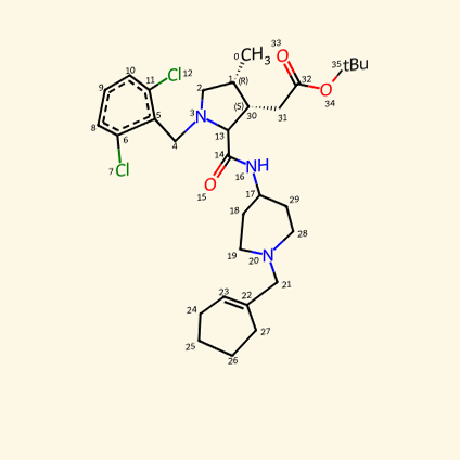 C[C@H]1CN(Cc2c(Cl)cccc2Cl)C(C(=O)NC2CCN(CC3=CCCCC3)CC2)[C@H]1CC(=O)OC(C)(C)C